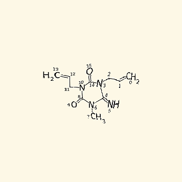 C=CCn1c(=N)n(C)c(=O)n(CC=C)c1=O